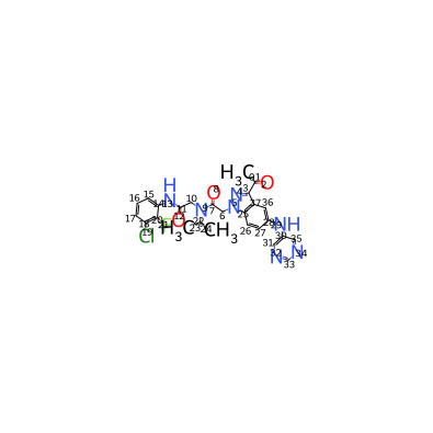 CC(=O)c1nn(CC(=O)N(CC(=O)Nc2cccc(Cl)c2F)C(C)C)c2ccc(Nc3cncnc3)cc12